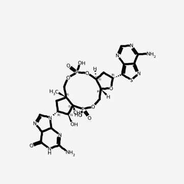 C[C@@]12COP(=O)(O)O[C@H]3C[C@H](c4snc5c(N)ncnc45)O[C@@H]3COP(=O)(O)[C@]1(C)[C@@H](O)[C@H](N1C=NC3C(=O)NC(N)=NC31)C2